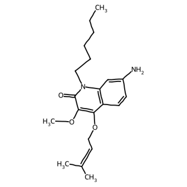 CCCCCCn1c(=O)c(OC)c(OCC=C(C)C)c2ccc(N)cc21